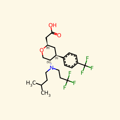 CC(C)CCN(CCC(F)(F)F)[C@@H]1CO[C@@H](CC(=O)O)C[C@H]1c1ccc(C(F)(F)F)cc1